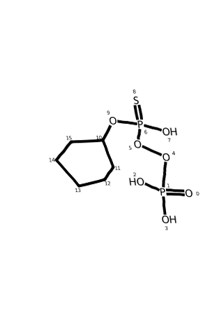 O=P(O)(O)OOP(O)(=S)OC1CCCCC1